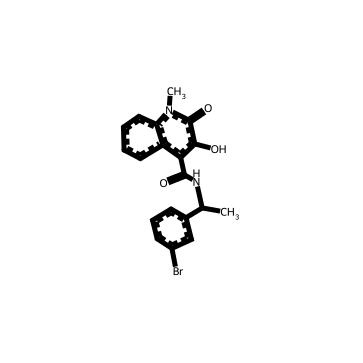 CC(NC(=O)c1c(O)c(=O)n(C)c2ccccc12)c1cccc(Br)c1